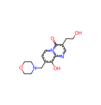 O=c1c(CCO)cnc2c(O)c(CN3CCOCC3)ccn12